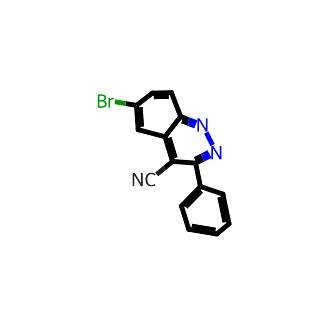 N#Cc1c(-c2ccccc2)nnc2ccc(Br)cc12